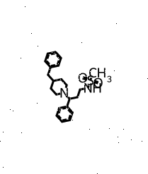 CS(=O)(=O)NCCC(c1ccccc1)N1CCC(Cc2ccccc2)CC1